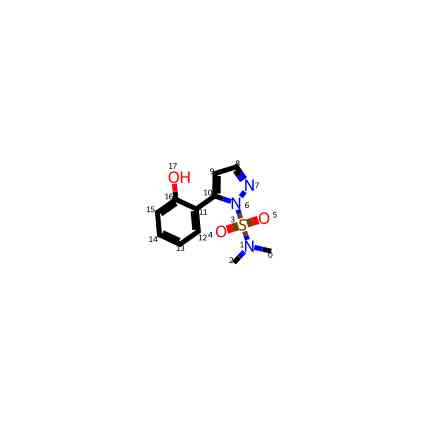 CN(C)S(=O)(=O)n1nccc1-c1ccccc1O